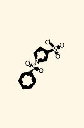 O=S(=O)(Cl)c1ccn(S(=O)(=O)c2ccccc2)c1